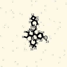 CCc1c(C)nc(CN2CCC3(CCC3)CC2)c(-c2ccc(OC)cc2)c1N1CCC(C)(C)CC1